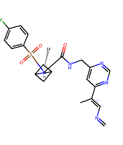 C=N/C=C(\C)c1cc(CNC(=O)[C@@H]2C3CC(C3)N2S(=O)(=O)c2ccc(F)cc2)ncn1